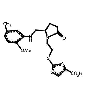 COc1ccc(C)cc1NC[C@H]1CCC(=O)N1CCSc1nc(C(=O)O)cs1